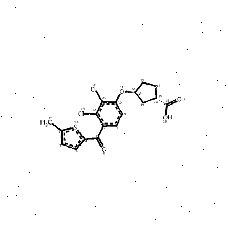 Cc1ccc(C(=O)c2ccc(O[C@H]3CC[C@H](C(=O)O)C3)c(Cl)c2Cl)s1